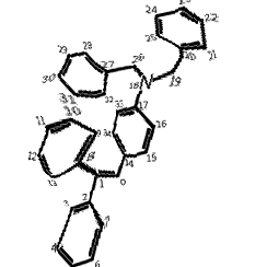 C(=C(c1ccccc1)c1ccccc1)c1ccc(N(Cc2ccccc2)Cc2ccccc2)cc1